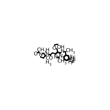 CC(=O)N1CCC(C)(NC(=O)Cc2nc(C)nc(NC(C)c3cccc(S(F)(F)(F)(F)F)c3)c2C2OCCO2)C1